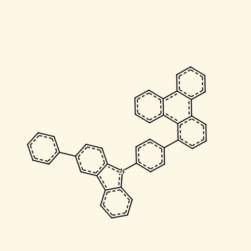 c1ccc(-c2ccc3c(c2)c2ccccc2n3-c2ccc(-c3cccc4c5ccccc5c5ccccc5c34)cc2)cc1